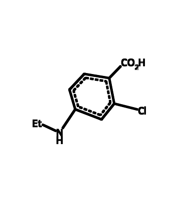 CCNc1ccc(C(=O)O)c(Cl)c1